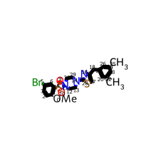 COc1ccc(Br)cc1S(=O)(=O)N1CCN(c2nc(Cc3cc(C)cc(C)c3)cs2)CC1